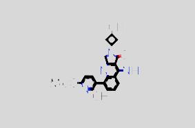 COc1ccc(-c2cccc3c(N)c4c(nc23)CN([C@H]2C[C@@H](C)C2)C4=O)c(C)n1